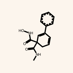 CNC(=O)C1(C(=O)NO)C=C(c2ccccc2)C=CC1